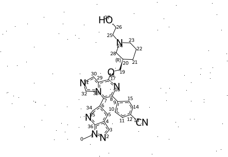 Cn1ncc2cc(-c3c(-c4ccc(C#N)cc4)nc(OC[C@@H]4CCCN(CCO)C4)c4cncn34)cnc21